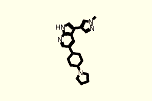 Cn1cc(-c2c[nH]c3ncc(C4CCC(N5CCCC5)CC4)cc23)cn1